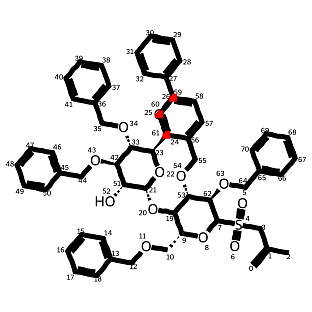 C=C(C)CS(=O)(=O)C1O[C@H](COCc2ccccc2)C(O[C@H]2O[C@H](COCc3ccccc3)[C@@H](OCc3ccccc3)[C@H](OCc3ccccc3)[C@H]2O)[C@H](OCc2ccccc2)[C@H]1OCc1ccccc1